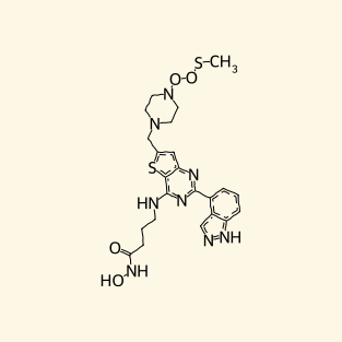 CSOON1CCN(Cc2cc3nc(-c4cccc5[nH]ncc45)nc(NCCCC(=O)NO)c3s2)CC1